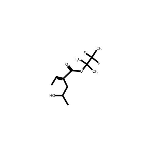 CC=C(CC(C)O)C(=O)OC(C(F)(F)F)(C(F)(F)F)C(F)(F)C(F)(F)F